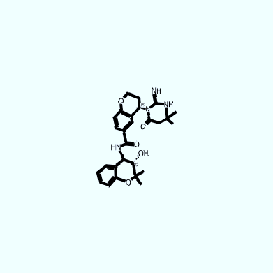 CC1(C)CC(=O)N([C@@H]2CCOc3ccc(C(=O)NC4c5ccccc5OC(C)(C)[C@H]4O)cc32)C(=N)N1